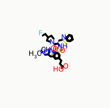 CN(C)CC1CNc2c(cc(CCC(=O)O)cc2S(=O)(=O)N[C@@H](Cc2nc3ccccc3s2)C(=O)N2CCC(CCF)CC2)C1